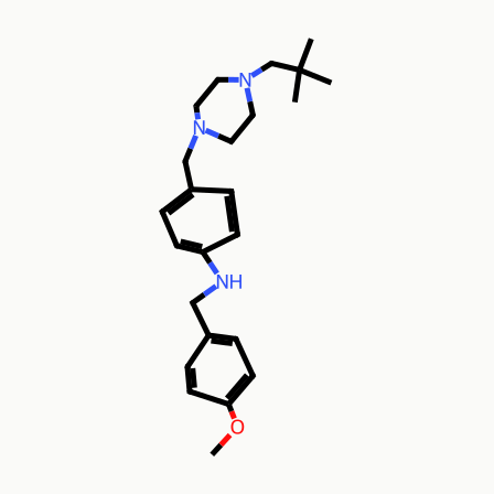 COc1ccc(CNc2ccc(CN3CCN(CC(C)(C)C)CC3)cc2)cc1